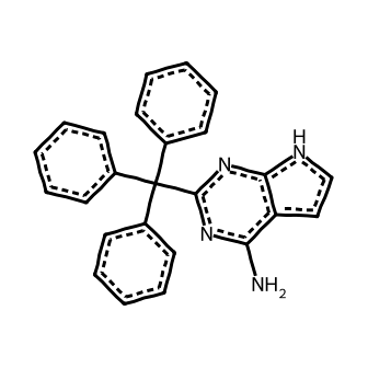 Nc1nc(C(c2ccccc2)(c2ccccc2)c2ccccc2)nc2[nH]ccc12